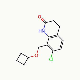 O=C1CCc2ccc(Cl)c(COC3CCC3)c2N1